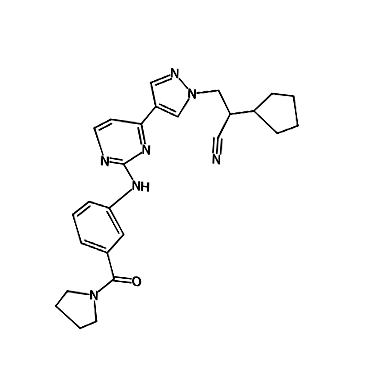 N#CC(Cn1cc(-c2ccnc(Nc3cccc(C(=O)N4CCCC4)c3)n2)cn1)C1CCCC1